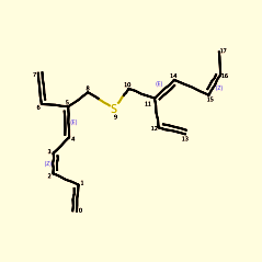 C=C/C=C\C=C(/C=C)CSC/C(C=C)=C/C=C\C